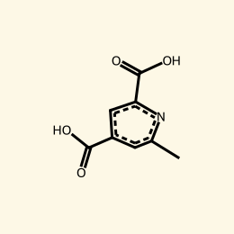 Cc1cc(C(=O)O)cc(C(=O)O)n1